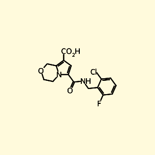 O=C(O)c1cc(C(=O)NCc2c(F)cccc2Cl)n2c1COCC2